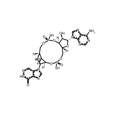 Nc1ncnc2c1ncn2[C@@H]1O[C@@H]2COP(=O)(S)O[C@H]3C(n4cnc5c(=O)[nH]ncc54)O[C@H](COP(=O)(S)O[C@H]2[C@H]1O)[C@H]3O